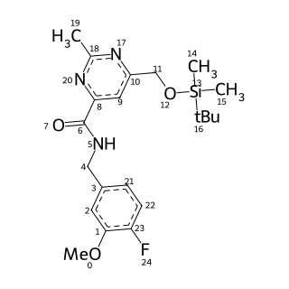 COc1cc(CNC(=O)c2cc(CO[Si](C)(C)C(C)(C)C)nc(C)n2)ccc1F